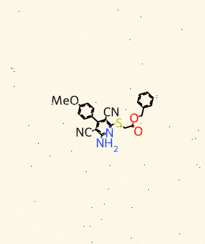 COc1ccc(-c2c(C#N)c(N)nc(SCC(=O)OCc3ccccc3)c2C#N)cc1